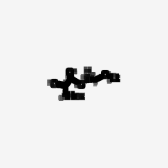 CCCCCCC(=O)C(=O)O[SiH2]COCC